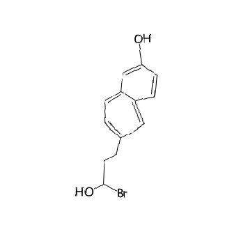 Oc1ccc2cc(CCC(O)Br)ccc2c1